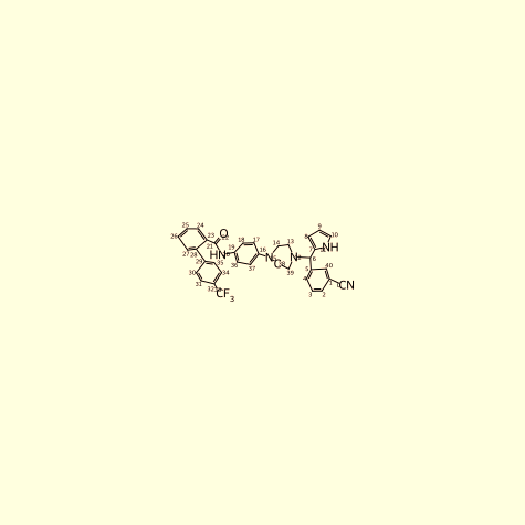 N#Cc1cccc(C(c2ccc[nH]2)N2CCN(c3ccc(NC(=O)c4ccccc4-c4ccc(C(F)(F)F)cc4)cc3)CC2)c1